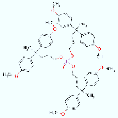 COc1ccc(C(C)(CCCOP(=O)(OCCCC(C)(c2ccc(OC)cc2)c2ccc(OC)cc2)OCCCC(C)(c2ccc(OC)cc2)c2ccc(OC)cc2)c2ccc(OC)cc2)cc1